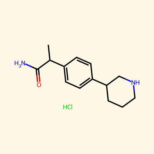 CC(C(N)=O)c1ccc(C2CCCNC2)cc1.Cl